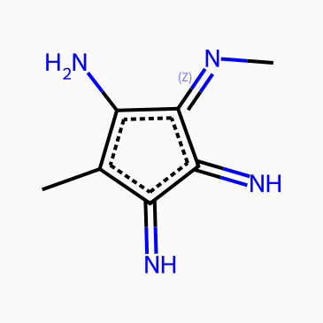 C/N=c1/c(N)c(C)c(=N)c1=N